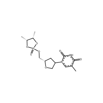 Cc1cn(C2CO[C@H](COP3(=S)O[C@H](C)[C@H](C)S3)C2)c(=O)[nH]c1=O